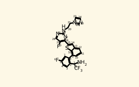 N[C@H](c1ccc(F)cc1-c1cccc2cc(-c3nc(NCCn4ccnn4)ncc3F)sc12)C(F)(F)F